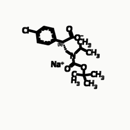 CC(C)N(C[C@@H](C(=O)[O-])c1ccc(Cl)cc1)C(=O)OC(C)(C)C.[Na+]